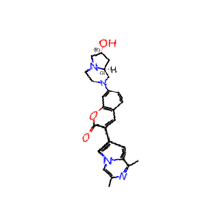 Cc1cn2cc(-c3cc4ccc(N5CCN6C[C@H](O)C[C@H]6C5)cc4oc3=O)cc2c(C)n1